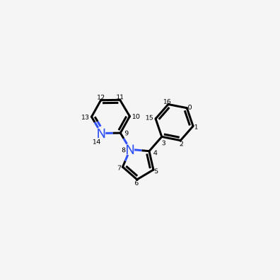 c1ccc(-c2cccn2-c2ccccn2)cc1